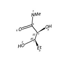 CC[C@@H](O)[C@H](O)C(=O)NC